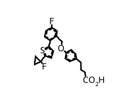 O=C(O)CCCc1ccc(OCc2cc(F)ccc2-c2ccc(C3(F)CC3)s2)cc1